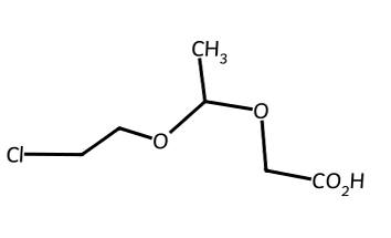 CC(OCCCl)OCC(=O)O